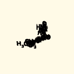 CC(C)(C)OC(=O)N1CC(N2CCN(c3ccc(N=O)c(CNC4CCC(=O)NC4=O)c3)CC2)C1